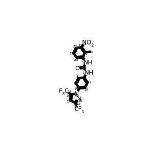 Cc1c(NC(=O)Nc2ccc(-n3nc(C(F)(F)F)cc3C(F)(F)F)cc2)cccc1[N+](=O)[O-]